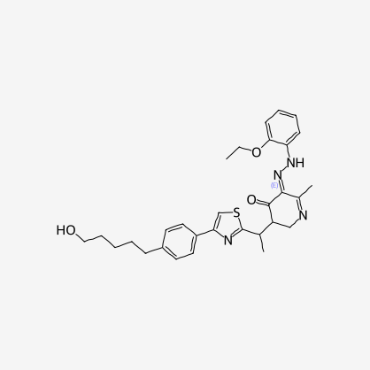 CCOc1ccccc1N/N=C1/C(=O)C(C(C)c2nc(-c3ccc(CCCCCO)cc3)cs2)CN=C1C